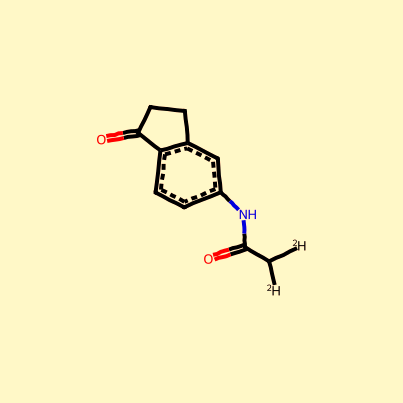 [2H]C([2H])C(=O)Nc1ccc2c(c1)CCC2=O